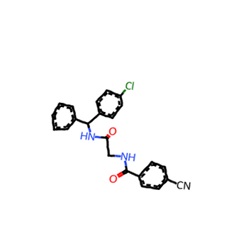 N#Cc1ccc(C(=O)NCC(=O)NC(c2ccccc2)c2ccc(Cl)cc2)cc1